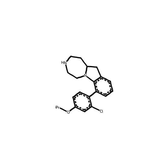 CC(C)Oc1ccc(-c2cccc3c2N2CCNCCC2C3)c(Cl)c1